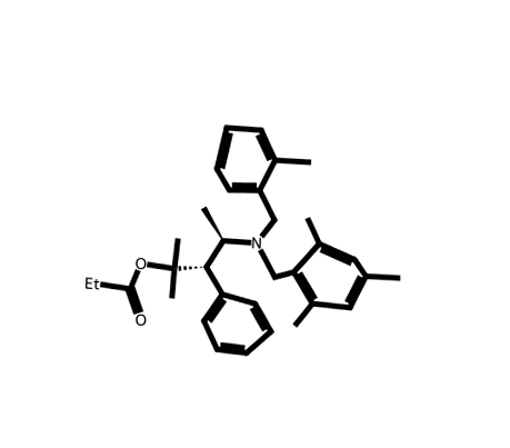 CCC(=O)OC(C)(C)[C@@H](c1ccccc1)[C@@H](C)N(Cc1ccccc1C)Cc1c(C)cc(C)cc1C